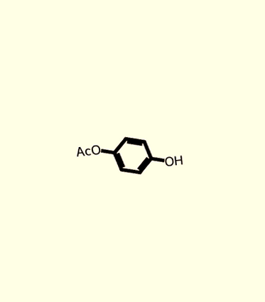 CC(=O)Oc1ccc(O)cc1